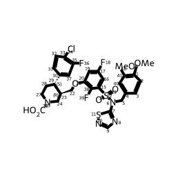 COc1ccc(CN(c2ncns2)S(=O)(=O)c2cc(F)cc(OC[C@H]3CN(C(=O)O)CC[C@@H]3c3ccc(Cl)c(F)c3)c2F)cc1OC